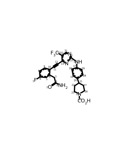 NC(=O)Cc1cc(F)ccc1C#Cc1nc(Nc2ccc(C3CCN(C(=O)O)CC3)cc2)ncc1C(F)(F)F